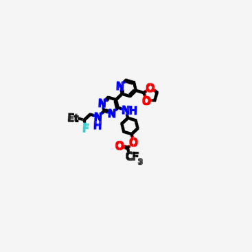 CC[C@H](F)CNc1ncc(-c2cc(C3OCCO3)ccn2)c(NC2CCC(OC(=O)C(F)(F)F)CC2)n1